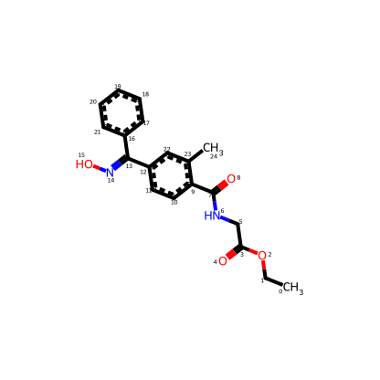 CCOC(=O)CNC(=O)c1ccc(C(=NO)c2ccccc2)cc1C